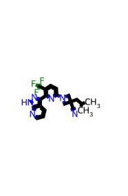 CC(C)CC1(C#N)CN(c2ccc(C(F)(F)F)c(-c3n[nH]c4ncccc34)n2)C1